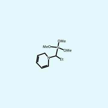 CCC(N1C=CC=CC1)[Si](OC)(OC)OC